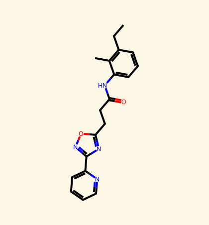 CCc1cccc(NC(=O)CCc2nc(-c3ccccn3)no2)c1C